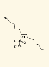 CCCCCCCCCCC[CH2][Na].O=P([O-])(O)O.[K+]